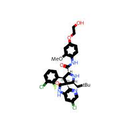 COc1cc(OCCO)ccc1NC(=O)[C@@H]1N[C@@H](CC(C)(C)C)[C@@]2(C(=O)Nc3cc(Cl)cnc32)[C@H]1c1cccc(Cl)c1F